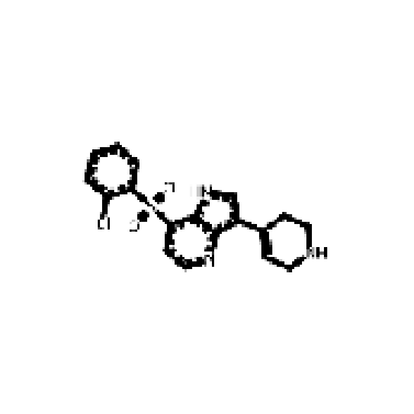 O=S(=O)(c1ccccc1Cl)c1ccnc2c(C3=CCNCC3)c[nH]c12